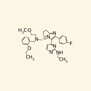 CCNc1nccc(-c2c(-c3ccc(F)cc3)nc3n2[C@H](CN(CCOC)Cc2ccccc2OCC)CC3)n1